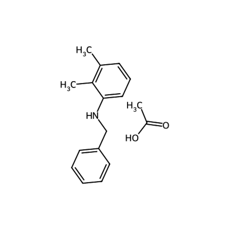 CC(=O)O.Cc1cccc(NCc2ccccc2)c1C